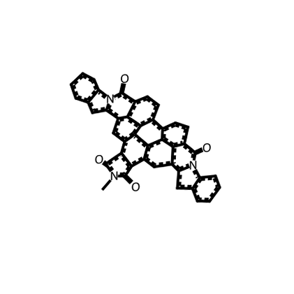 Cn1c(=O)c2c3cc4c5c(ccc6c7ccc8c(=O)n9c%10ccccc%10cc9c9cc(c2c1=O)c(c7c89)c3c65)c(=O)n1c2ccccc2cc41